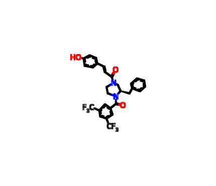 O=C(/C=C/c1ccc(O)cc1)N1CCN(C(=O)c2cc(C(F)(F)F)cc(C(F)(F)F)c2)[C@H](Cc2ccccc2)C1